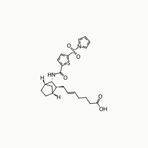 O=C(O)CCCC=CC[C@H]1[C@@H]2CC[C@@H](C2)[C@@H]1NC(=O)c1ccc(S(=O)(=O)n2cccc2)s1